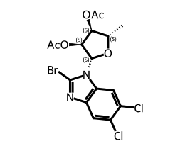 CC(=O)O[C@@H]1[C@H](OC(C)=O)[C@@H](n2c(Br)nc3cc(Cl)c(Cl)cc32)O[C@H]1C